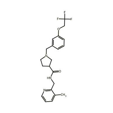 Cc1cccnc1CNC(=O)C1CCN(Cc2cccc(OCC(F)(F)F)c2)C1